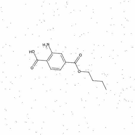 CCCCOC(=O)c1ccc(C(=O)O)c(N)c1